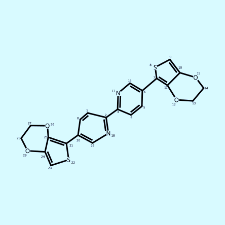 c1cc(-c2ccc(-c3scc4c3OCCO4)cn2)ncc1-c1scc2c1OCCO2